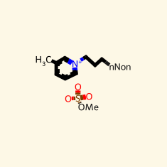 CCCCCCCCCCCC[n+]1cccc(C)c1.COS(=O)(=O)[O-]